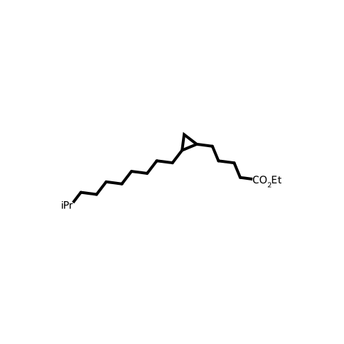 CCOC(=O)CCCCC1CC1CCCCCCCCC(C)C